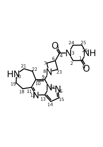 O=C1CN(C(=O)C2CN(c3c4c(nc5ccnn35)CCNCC4)C2)CCN1